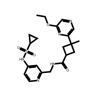 CCOc1cncc(C2(C)CC(C(=O)NCc3cc(NS(=O)(=O)C4CC4)ccn3)C2)n1